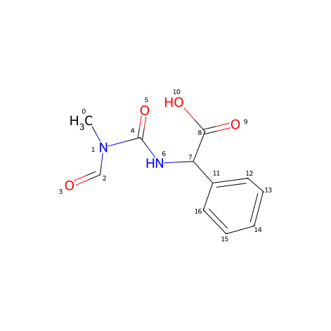 CN(C=O)C(=O)NC(C(=O)O)c1ccccc1